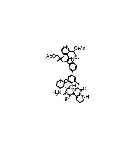 CCn1c(-c2cccnc2[C@H](C)OC)c(CC(C)(C)COC(C)=O)c2cc(-c3cc(O)cc(C[C@H](NC(=O)C(C(C)C)N(C)C(=O)[C@H]4CCCC[C@H]4N)C(=O)N4CCCCN4)c3)ccc21